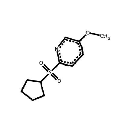 COc1ccc(S(=O)(=O)C2CCCC2)nc1